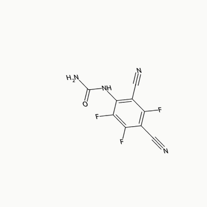 N#Cc1c(F)c(F)c(NC(N)=O)c(C#N)c1F